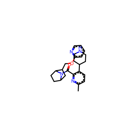 Cc1ccc(C2CCNCC2)c(C(=O)N2C3CCC2C(COc2ccccn2)C3)n1